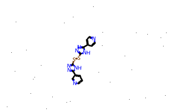 c1cncc(-c2nnc(SSc3nnc(-c4ccncc4)[nH]3)[nH]2)c1